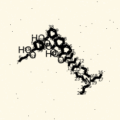 CCCC.CCCC.CCCC.CCCC.CCCC[N+](CCCC)(CCCC)CCCC.O=C(O)c1ccccc1.O=C(O)c1ccccc1.O=C(O)c1ccccc1.O=C(O)c1ccccc1